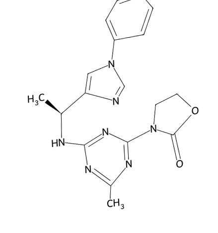 Cc1nc(N[C@@H](C)c2cn(-c3ccncc3)cn2)nc(N2CCOC2=O)n1